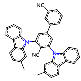 Cc1ccc2c3ccccc3n(-c3cc(-c4cccc(C#N)c4)cc(-n4c5ccccc5c5ccc(C)cc54)c3C#N)c2c1